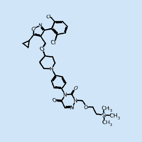 C[Si](C)(C)CCOCn1ncc(=O)n(-c2ccc(N3CCC(OCc4c(-c5c(Cl)cccc5Cl)noc4C4CC4)CC3)cc2)c1=O